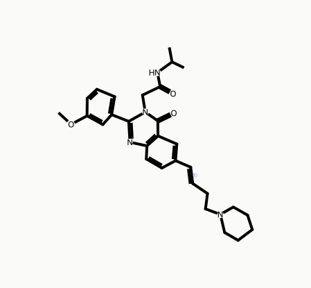 COc1cccc(-c2nc3ccc(/C=C/CCN4CCCCC4)cc3c(=O)n2CC(=O)NC(C)C)c1